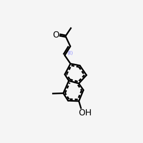 CC(=O)/C=C/c1ccc2cc(O)cc(C)c2c1